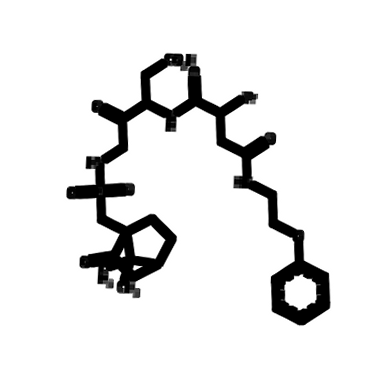 CC(C)C(CC(=O)NCCOc1ccccc1)C(=O)NC(CC(=O)O)C(=O)CNS(=O)(=O)CC12CCC(CC1=O)C2(C)C